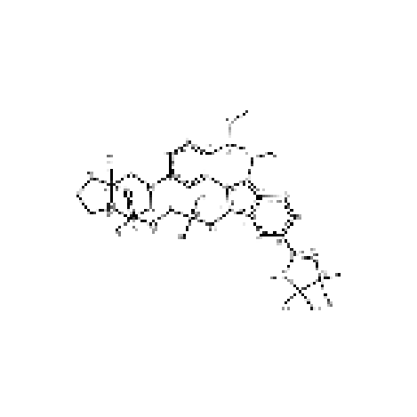 CCn1c(-c2cc(N3CCN4CCC[C@@H]4C3)cnc2C(C)OC)c(CC(C)(C)COC(C)=O)c2cc(B3OC(C)(C)C(C)(C)O3)ccc21